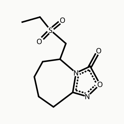 CCS(=O)(=O)CC1CCCCc2noc(=O)n21